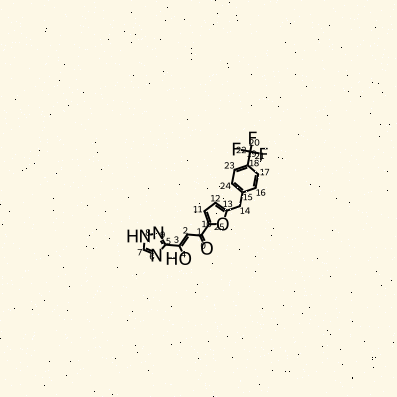 O=C(C=C(O)c1nc[nH]n1)c1ccc(Cc2ccc(C(F)(F)F)cc2)o1